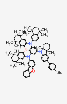 CC(C)(C)c1ccc(-c2ccc3c(c2)C2(C)CCCCC2(C)N3c2cc3c4c(c2)N(c2ccc5oc6ccccc6c5c2)c2cc5c(cc2B4c2cc4c(cc2N3c2ccc3c(c2)C(C)(C)CCC3(C)C)C(C)(C)CCC4(C)C)C(C)(C)CCC5(C)C)cc1